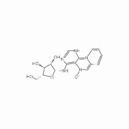 [O-]N1C=c2cccc[n+]2=C2NC=NC(N[C@@H]3O[C@H](CO)[C@@H](O)[C@H]3O)=C21